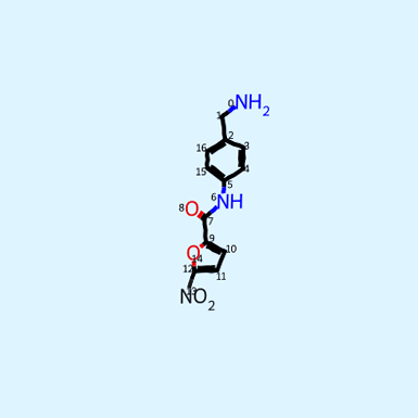 NCc1ccc(NC(=O)c2ccc([N+](=O)[O-])o2)cc1